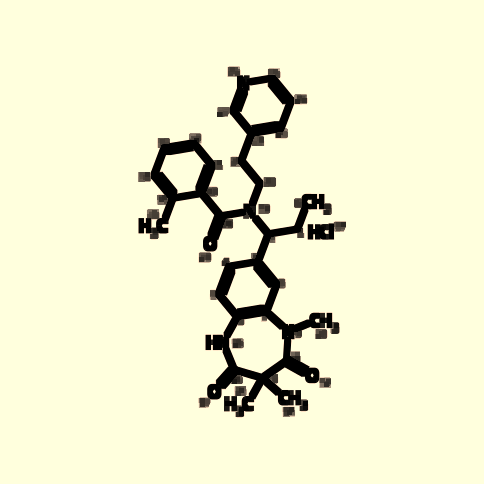 CCC(c1ccc2c(c1)N(C)C(=O)C(C)(C)C(=O)N2)N(CCc1cccnc1)C(=O)c1ccccc1C.Cl